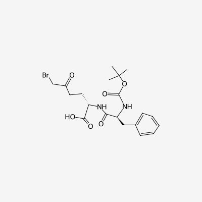 CC(C)(C)OC(=O)N[C@@H](Cc1ccccc1)C(=O)N[C@@H](CCC(=O)CBr)C(=O)O